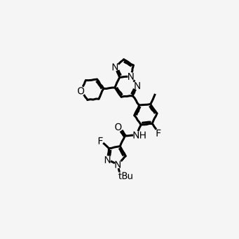 Cc1cc(F)c(NC(=O)c2cn(C(C)(C)C)nc2F)cc1-c1cc(C2=CCOCC2)c2nccn2n1